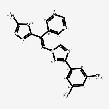 Nc1nnc(C(=Cn2cnc(-c3cc(C(F)(F)F)cc(C(F)(F)F)c3)n2)c2cncnc2)o1